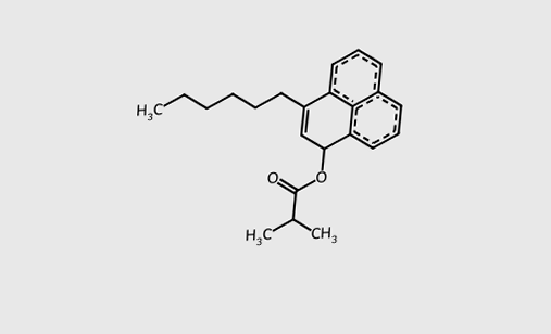 CCCCCCC1=CC(OC(=O)C(C)C)c2cccc3cccc1c23